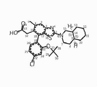 Cc1cc2nc(N3CC[C@@H]4CCCC[C@@H]4C3)sc2c(-c2ccc(Cl)cc2OC(C)(C)C)c1CC(=O)O